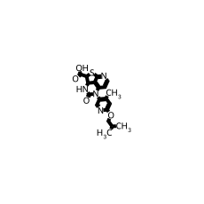 Cc1cc(OCC(C)C)ncc1N1C(=O)NC2c3c1ccnc3SC2C(=O)O